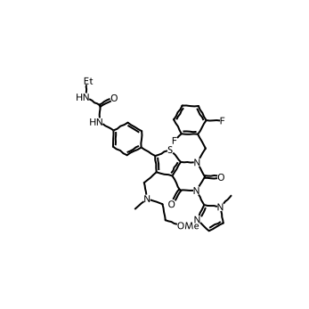 CCNC(=O)Nc1ccc(-c2sc3c(c2CN(C)CCOC)c(=O)n(-c2nccn2C)c(=O)n3Cc2c(F)cccc2F)cc1